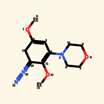 CCOC1=CC(N2CCOCC2)=C(OCC)C(=[N+]=[N-])C1